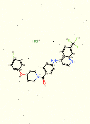 Cl.O=C(c1ccc(Nc2ccnc3cc(C(F)(F)F)ccc23)cc1)N1CCC(Oc2ccc(F)cc2)CC1